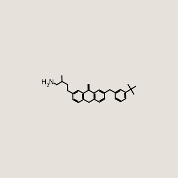 C=C1c2cc(CCC(C)CN)ccc2Cc2ccc(Cc3cccc(C(C)(C)C)c3)cc21